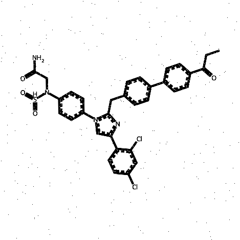 CCC(=O)c1ccc(-c2ccc(Cc3nc(-c4ccc(Cl)cc4Cl)cn3-c3ccc(N(CC(N)=O)[SH](=O)=O)cc3)cc2)cc1